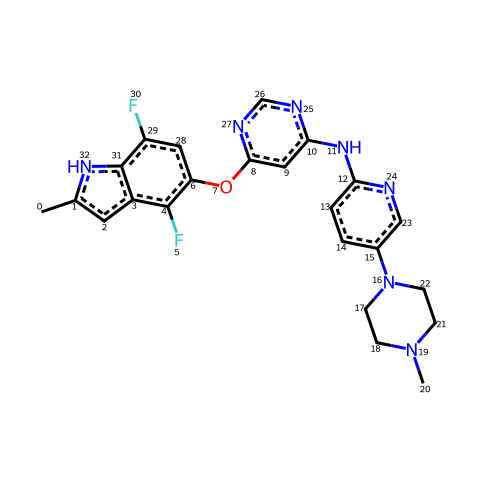 Cc1cc2c(F)c(Oc3cc(Nc4ccc(N5CCN(C)CC5)cn4)ncn3)cc(F)c2[nH]1